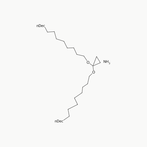 CCCCCCCCCCCCCCCCCCOC1(OCCCCCCCCCCCCCCCCCC)CC1.N